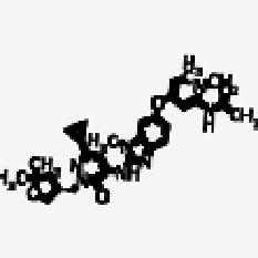 C=N/C(=C\C(=C/C)Oc1ccc2nc(Nc3cc(C4CC4)nn(C[C@@H]4COC(C)(C)C4)c3=O)n(C)c2c1)NC(C)=O